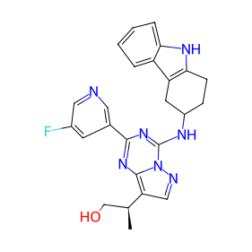 C[C@@H](CO)c1cnn2c(NC3CCc4[nH]c5ccccc5c4C3)nc(-c3cncc(F)c3)nc12